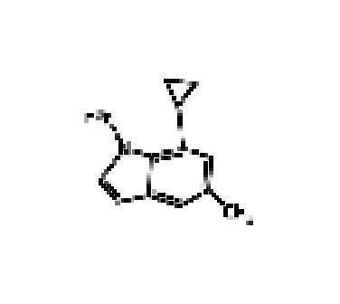 CCCn1ccc2cc(C)cc(C3CC3)c21